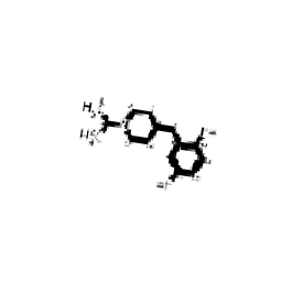 CC(C)N1CCC(Cc2cc(F)ccc2F)CC1